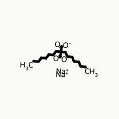 CCCCCCCCC(CCCCCCCC)(C(=O)[O-])C(=O)[O-].[Na+].[Na+]